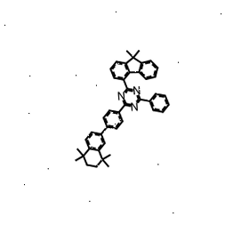 CC1(C)CCC(C)(C)c2cc(-c3ccc(-c4nc(-c5ccccc5)nc(-c5cccc6c5-c5ccccc5C6(C)C)n4)cc3)ccc21